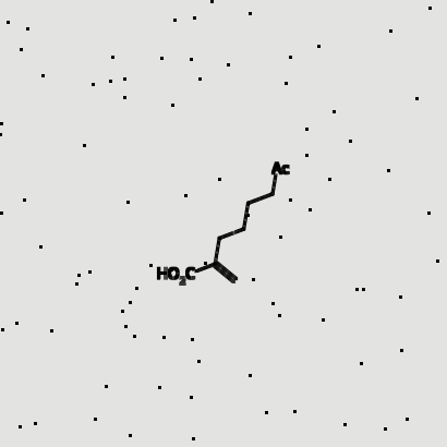 C=C(CCCCC(C)=O)C(=O)O